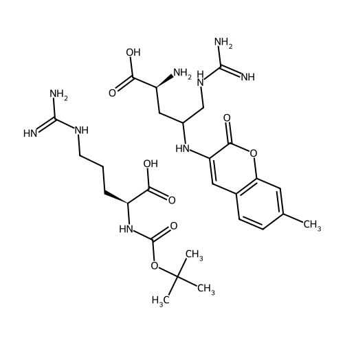 CC(C)(C)OC(=O)N[C@@H](CCCNC(=N)N)C(=O)O.Cc1ccc2cc(NC(CNC(=N)N)C[C@H](N)C(=O)O)c(=O)oc2c1